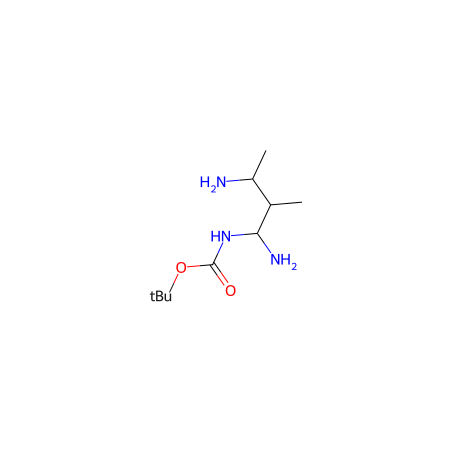 CC(N)C(C)C(N)NC(=O)OC(C)(C)C